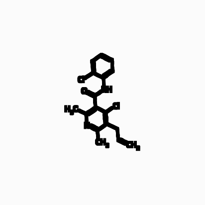 C=CCc1c(C)nc(C)c(C(=O)Nc2ccccc2Cl)c1Cl